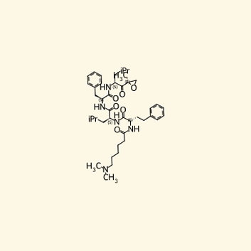 CC(C)C[C@H](NC(=O)[C@H](CCc1ccccc1)NC(=O)CCCCCN(C)C)C(=O)N[C@@H](Cc1ccccc1)C(=O)N[C@@H](CC(C)C)C(=O)[C@@]1(C)CO1